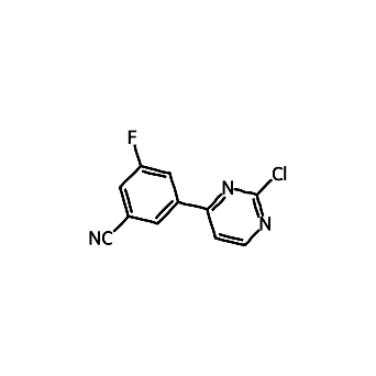 N#Cc1cc(F)cc(-c2ccnc(Cl)n2)c1